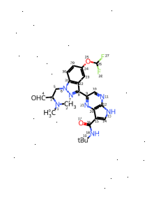 CN(C)C(C=O)Cn1nc(-c2cnc3[nH]cc(C(=O)NC(C)(C)C)c3n2)c2cc(OC(F)F)ccc21